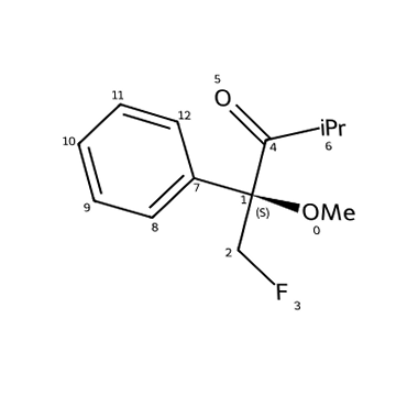 CO[C@](CF)(C(=O)C(C)C)c1ccccc1